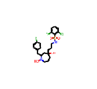 O=S(=O)(NCCCC1(O)CCCN(O)C(Cc2ccc(F)cc2)C1)c1c(Cl)cccc1Cl